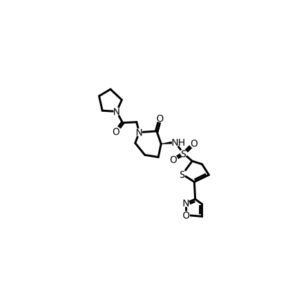 O=C(CN1CCC[C@H](NS(=O)(=O)C2CC=C(c3ccon3)S2)C1=O)N1CCCC1